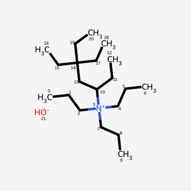 CCC[N+](CCC)(CCC)C(CC)CC(CC)(CC)CC.[OH-]